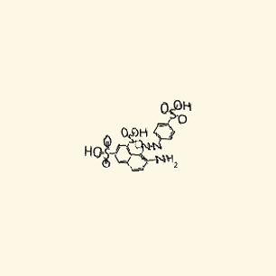 Nc1ccc2cc(S(=O)(=O)O)cc(S(=O)(=O)O)c2c1N=Nc1ccc(S(=O)(=O)O)cc1